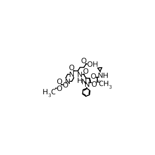 CCOC(=O)ON1CCN(C(=O)C(CCC(=O)O)NC(=O)c2cc(O[C@@H](C)C(=O)NC3CC3)n(-c3ccccc3)n2)CC1